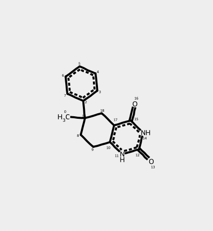 CC1(c2ccccc2)CCc2[nH]c(=O)[nH]c(=O)c2C1